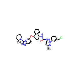 CC1CCCCN1c1nnc2ccc(O[C@@H]3CC[C@H](NC(=O)Nc4cc(C(C)(C)C)nn4-c4cccc(CCl)c4)c4ccccc43)cn12